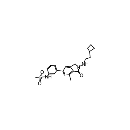 Cc1cc(-c2cccc(NS(C)(=O)=O)c2)cc2c1C(=O)N(NCCC1CCC1)C2